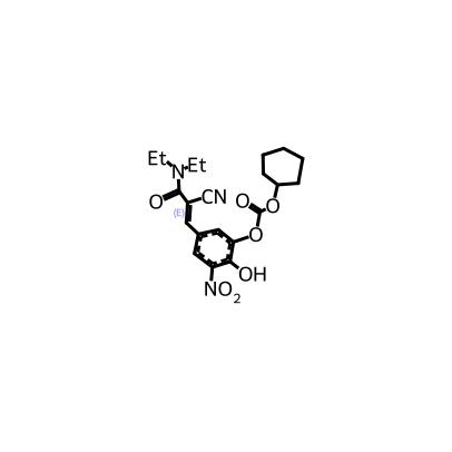 CCN(CC)C(=O)/C(C#N)=C/c1cc(OC(=O)OC2CCCCC2)c(O)c([N+](=O)[O-])c1